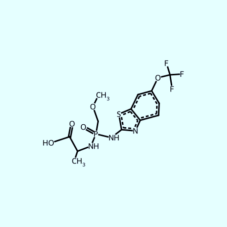 COCP(=O)(Nc1nc2ccc(OC(F)(F)F)cc2s1)NC(C)C(=O)O